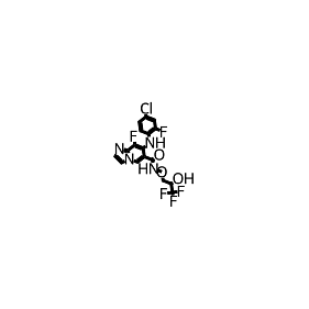 O=C(NOCC(O)C(F)(F)F)c1cn2ccnc2c(F)c1Nc1ccc(Cl)cc1F